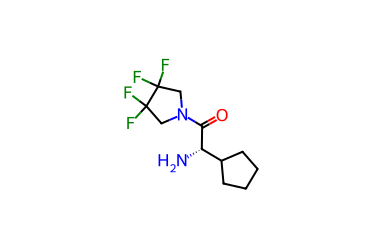 N[C@H](C(=O)N1CC(F)(F)C(F)(F)C1)C1CCCC1